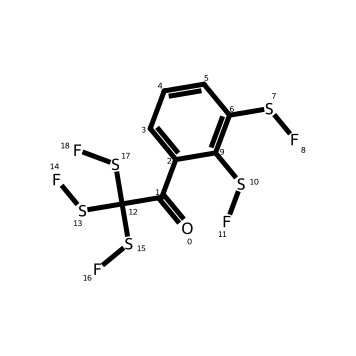 O=C(c1cccc(SF)c1SF)C(SF)(SF)SF